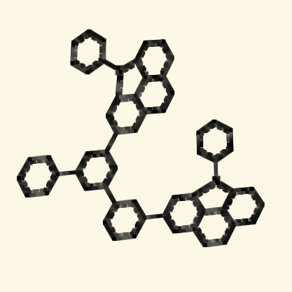 c1ccc(-c2cc(-c3cccc(-c4cc5ccc6cccc7c6c5c(c4)n7-c4ccccc4)c3)cc(-c3cc4ccc5cccc6c5c4c(c3)n6-c3ccccc3)c2)cc1